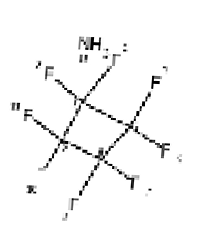 FC1(F)C(F)(F)C(F)(F)C1(F)F.N